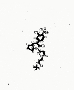 CC(C)(C)OC(=O)CCn1ccc(NC(=O)C(CC2CCCC2)c2ccc(S(C)(=O)=O)c(Cl)c2)n1